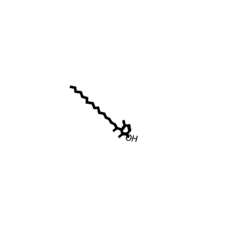 CCCCCCCCCCCCCCCCC(C)c1c(C)ccc(O)c1C